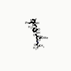 COC(=O)NC(CC/C=C/C(=O)N(C)C)C(=O)Nc1ccc(C)n(Cc2nc3c(CC(C)C)ncc(F)c3[nH]2)c1=O